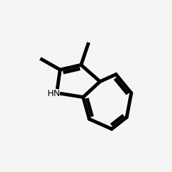 CC1=C(C)C2C=CC=CC=C2N1